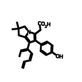 C=C/C=C\C(=C/C)c1c(-c2ccc(O)cc2)c(CC(=O)O)n2c1CC(C)(C)C2